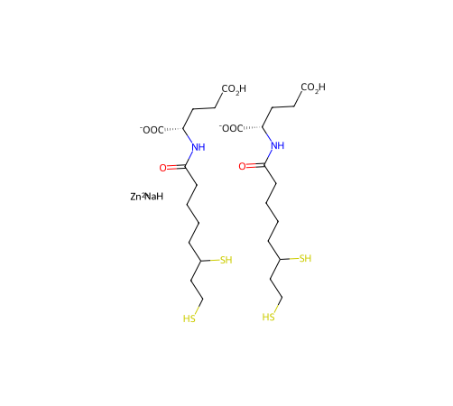 O=C(O)CC[C@H](NC(=O)CCCCC(S)CCS)C(=O)[O-].O=C(O)CC[C@H](NC(=O)CCCCC(S)CCS)C(=O)[O-].[NaH].[Zn+2]